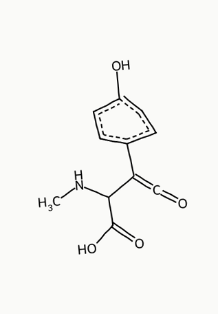 CNC(C(=O)O)C(=C=O)c1ccc(O)cc1